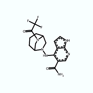 NC(=O)c1cnc2[nH]ccc2c1NN1CC2CCCC1CN2C(=O)C(F)(F)F